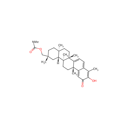 CNC(=O)OC[C@]1(C)CC[C@@]2(C)CC[C@]3(C)C4=CC=C5C(=CC(=O)C(O)=C5C)[C@]4(C)CC[C@@]3(C)[C@@H]2C1